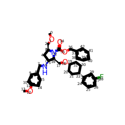 COC[C@@H]1C[C@H](NCc2ccc(OC)cc2)[C@H](CO[C@H]2CC[C@@H](c3cccc(F)c3)CC2)N1C(=O)OCc1ccccc1